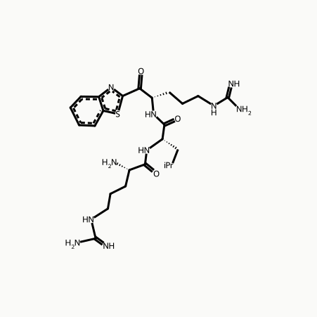 CC(C)C[C@H](NC(=O)[C@@H](N)CCCNC(=N)N)C(=O)N[C@@H](CCCNC(=N)N)C(=O)c1nc2ccccc2s1